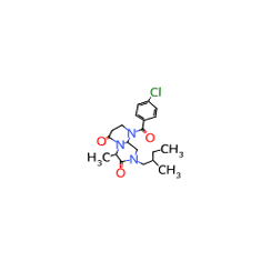 CCC(C)CN1CC2N(C(=O)c3ccc(Cl)cc3)CCC(=O)N2C(C)C1=O